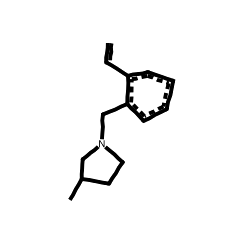 C=Cc1ccccc1CN1CCC(C)C1